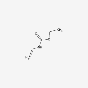 C=CNC(=O)OCC